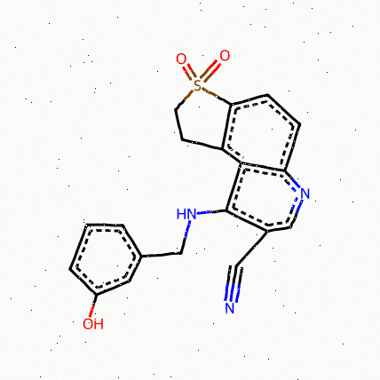 N#Cc1cnc2ccc3c(c2c1NCc1cccc(O)c1)CCS3(=O)=O